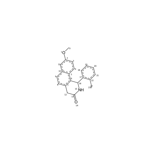 COc1ccc2c3c(ccc2c1)CC(=O)NC3c1ccccc1F